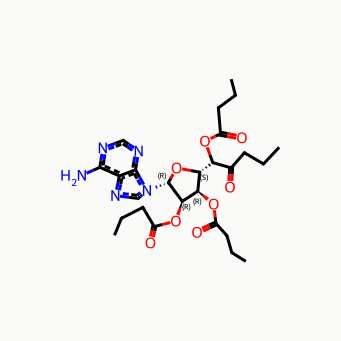 CCCC(=O)OC(C(=O)CCC)[C@H]1O[C@@H](n2cnc3c(N)ncnc32)[C@H](OC(=O)CCC)[C@@H]1OC(=O)CCC